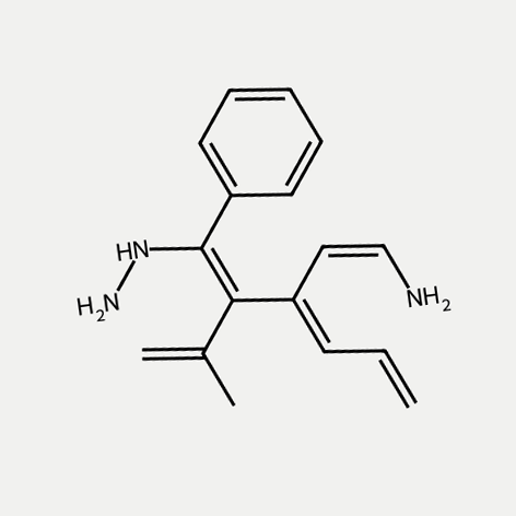 C=C/C=C(\C=C/N)C(/C(=C)C)=C(/NN)c1ccccc1